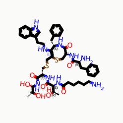 C[C@@H](O)[C@H](NC(=O)CCCCCN)C(=O)N[C@@H](CSC/C1=C(\NCCc2c[nH]c3ccccc23)[C@H](Cc2ccccc2)NC(=O)[C@@H](NC(=O)[C@H](N)Cc2ccccc2)CS1)C(=O)N[C@H](O)[C@@H](C)O